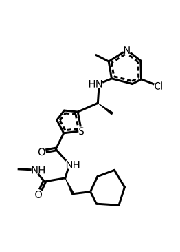 CNC(=O)[C@H](CC1CCCCC1)NC(=O)c1ccc([C@H](C)Nc2cc(Cl)cnc2C)s1